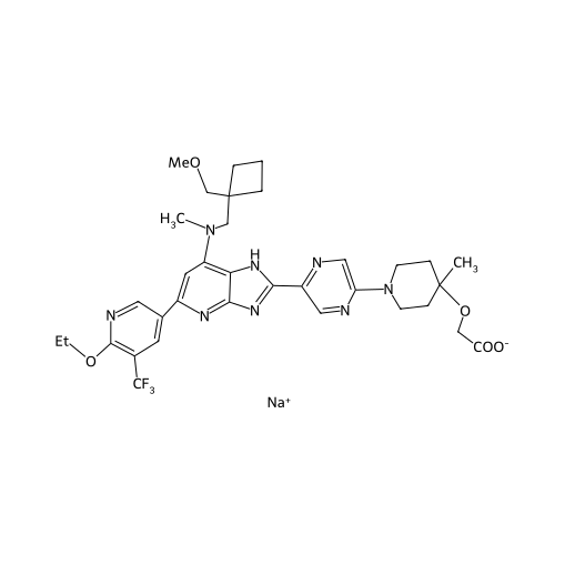 CCOc1ncc(-c2cc(N(C)CC3(COC)CCC3)c3[nH]c(-c4cnc(N5CCC(C)(OCC(=O)[O-])CC5)cn4)nc3n2)cc1C(F)(F)F.[Na+]